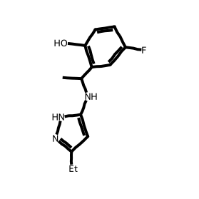 CCc1cc(NC(C)c2cc(F)ccc2O)[nH]n1